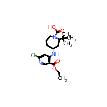 CCOC(=O)c1cnc(Cl)cc1N[C@@H]1CCCN(C(=O)O)C(C(C)(C)C)C1